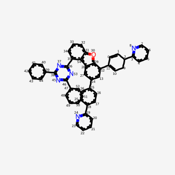 C1=CC(c2ccccn2)CC=C1c1cc(-c2ccc(-c3ccccn3)cc2)cc2c1oc1cccc(-c3nc(-c4ccccc4)nc(-c4ccccc4)n3)c12